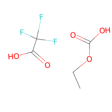 CCOC(=O)O.O=C(O)C(F)(F)F